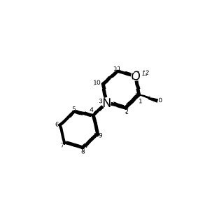 C[C@H]1CN(C2CCCCC2)CCO1